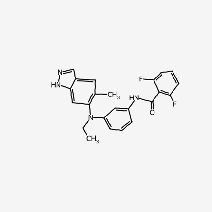 CCN(c1cccc(NC(=O)c2c(F)cccc2F)c1)c1cc2[nH]ncc2cc1C